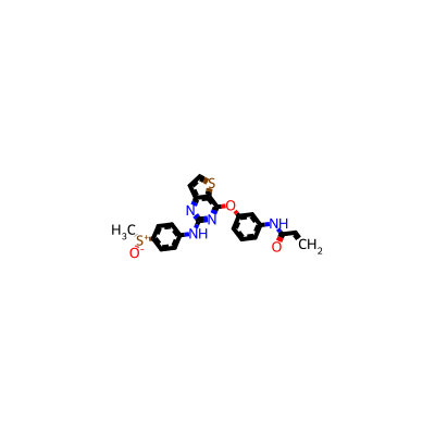 C=CC(=O)Nc1cccc(Oc2nc(Nc3ccc([S+](C)[O-])cc3)nc3ccsc23)c1